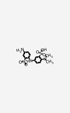 CN(C)c1ccc(Nc2ccc(N)cc2[N+](=O)[O-])cc1S(=O)(=O)O